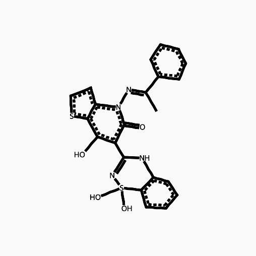 CC(=Nn1c(=O)c(C2=NS(O)(O)c3ccccc3N2)c(O)c2sccc21)c1ccccc1